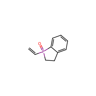 C=CP1(=O)CCc2ccccc21